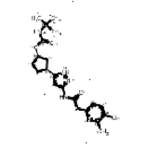 Cc1nc(CC(=O)Nc2cc([C@H]3CC[C@@H](OC(=O)NC(C)(C)C)C3)[nH]n2)ccc1Cl